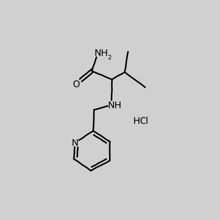 CC(C)C(NCc1ccccn1)C(N)=O.Cl